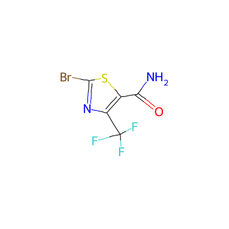 NC(=O)c1sc(Br)nc1C(F)(F)F